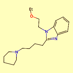 CCOCCn1c(CCCCN2CCCCC2)nc2ccccc21